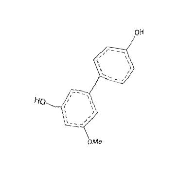 COc1cc(O)cc(-c2ccc(O)cc2)c1